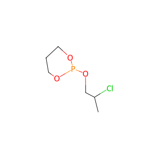 CC(Cl)COP1OCCCO1